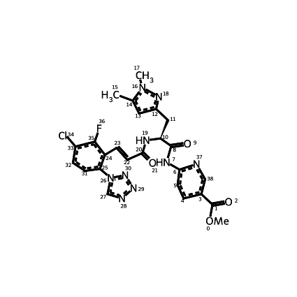 COC(=O)c1ccc(NC(=O)[C@H](Cc2cc(C)n(C)n2)NC(=O)/C=C/c2c(-n3cnnn3)ccc(Cl)c2F)nc1